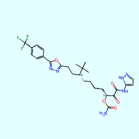 CC(C)(C)[C@H](CCCC[C@H](OC(N)=O)C(=O)C(=O)Nc1ccn[nH]1)CCc1nnc(-c2ccc(C(F)(F)F)cc2)o1